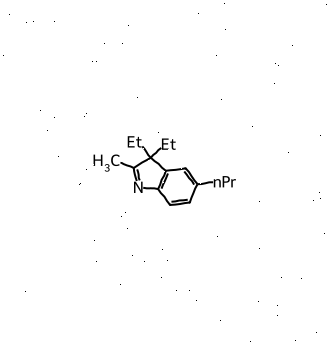 CCCc1ccc2c(c1)C(CC)(CC)C(C)=N2